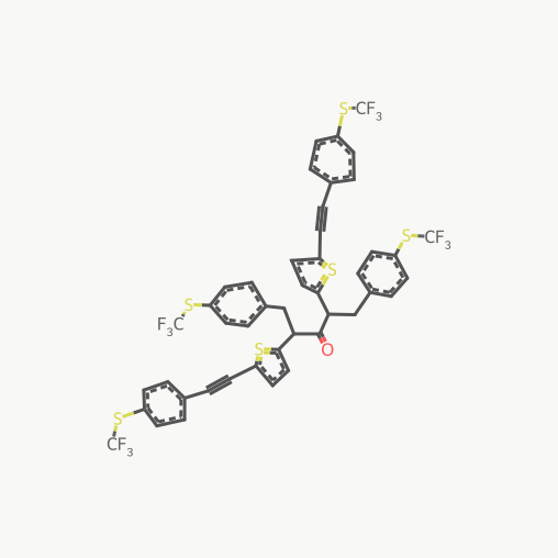 O=C(C(Cc1ccc(SC(F)(F)F)cc1)c1ccc(C#Cc2ccc(SC(F)(F)F)cc2)s1)C(Cc1ccc(SC(F)(F)F)cc1)c1ccc(C#Cc2ccc(SC(F)(F)F)cc2)s1